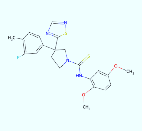 COc1ccc(OC)c(NC(=S)N2CCC(c3ccc(C)c(F)c3)(c3ncns3)C2)c1